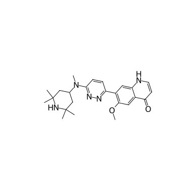 COc1cc2c(=O)cc[nH]c2cc1-c1ccc(N(C)C2CC(C)(C)NC(C)(C)C2)nn1